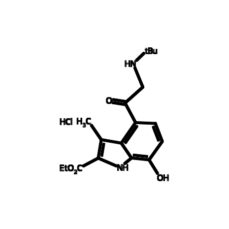 CCOC(=O)c1[nH]c2c(O)ccc(C(=O)CNC(C)(C)C)c2c1C.Cl